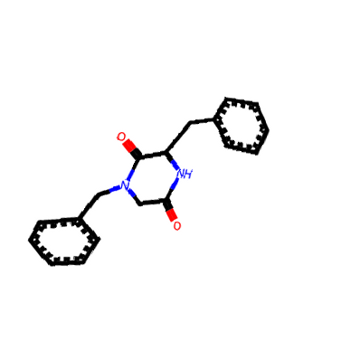 O=C1CN(Cc2ccccc2)C(=O)C(Cc2ccccc2)N1